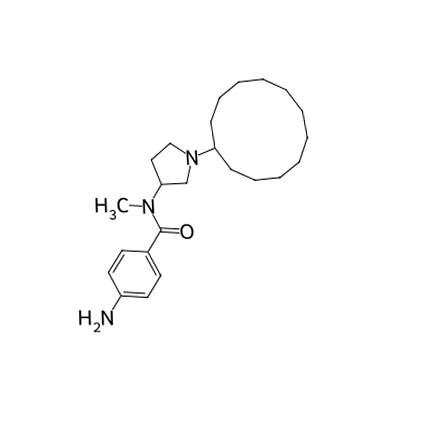 CN(C(=O)c1ccc(N)cc1)C1CCN(C2CCCCCCCCCCC2)C1